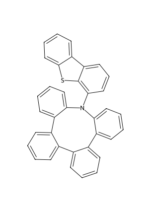 c1ccc2c(c1)sc1c(-n3c4ccccc4c4ccccc4c4ccccc4c4ccccc43)cccc12